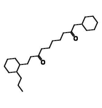 CCCC1CCCCC1CCC(=O)CCCCCC(=O)CC1CCCCC1